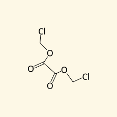 O=C(OCCl)C(=O)OCCl